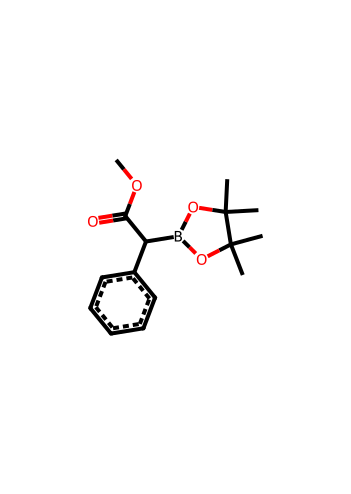 COC(=O)C(B1OC(C)(C)C(C)(C)O1)c1ccccc1